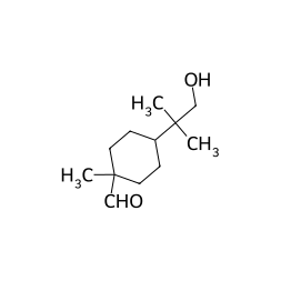 CC1(C=O)CCC(C(C)(C)CO)CC1